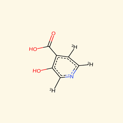 [2H]c1nc([2H])c(O)c(C(=O)O)c1[2H]